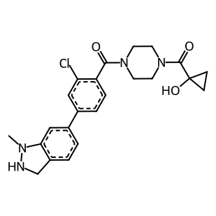 CN1NCc2ccc(-c3ccc(C(=O)N4CCN(C(=O)C5(O)CC5)CC4)c(Cl)c3)cc21